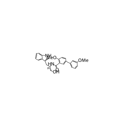 COc1cccc(-c2ccc(OC)c(C(=O)N[C@@H](CO)Cc3c[nH]c4ccccc34)c2)c1